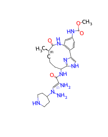 COC(=O)Nc1ccc2c(c1)NC(=O)[C@H](C)CCCC(NC(=O)/C(N)=C/N(N)C1CCNCC1)c1nc-2c[nH]1